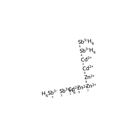 [Cd+2].[Cd+2].[Cd+2].[SbH6-3].[SbH6-3].[SbH6-3].[SbH6-3].[Zn+2].[Zn+2].[Zn+2]